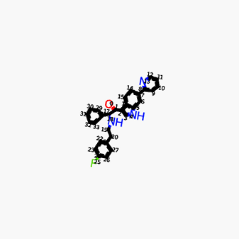 O=C(c1c[nH]c2cc(-c3ccccn3)ccc12)[C@@H](NCCc1ccc(F)cc1)c1ccccc1